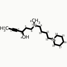 CC#CC(O)CCN(C)CCCCN1CCCCC1